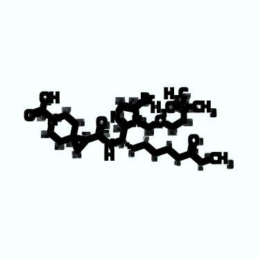 CCC(=O)CCCCC[C@H](NC(=O)C1CC12CCN(C(=O)O)CC2)c1ncc(Br)n1COCC[Si](C)(C)C